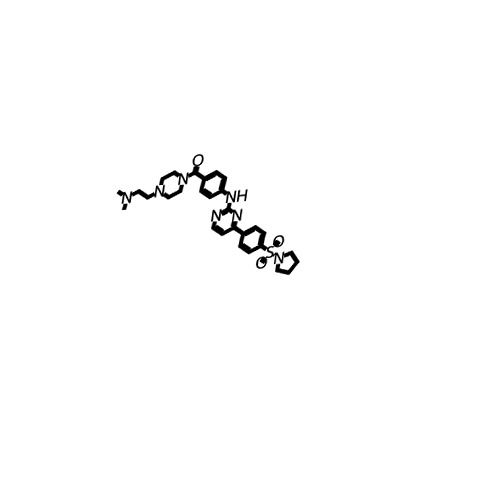 CN(C)CCN1CCN(C(=O)c2ccc(Nc3nccc(-c4ccc(S(=O)(=O)N5CCCC5)cc4)n3)cc2)CC1